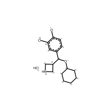 Cl.Clc1ccc(C(OC2CCCCC2)C2CNC2)cc1Cl